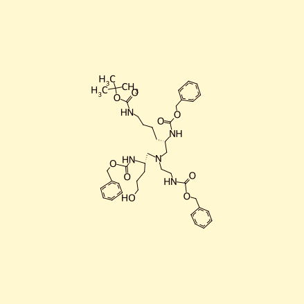 CC(C)(C)OC(=O)NCCCC[C@@H](CN(CCNC(=O)OCc1ccccc1)C[C@H](CCCO)NC(=O)OCc1ccccc1)NC(=O)OCc1ccccc1